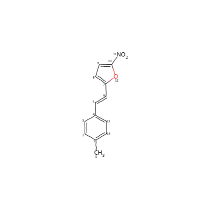 Cc1ccc(/C=C/c2ccc([N+](=O)[O-])o2)cc1